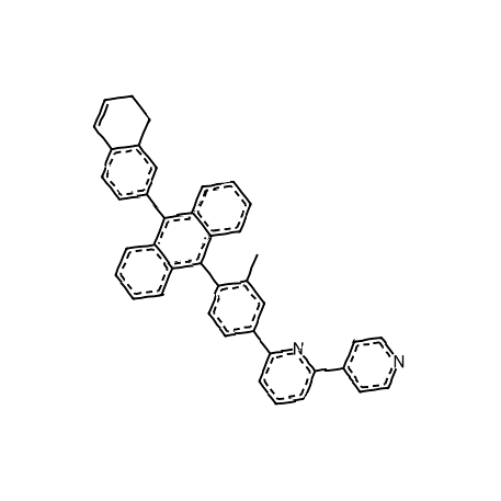 Cc1cc(-c2cccc(-c3ccncc3)n2)ccc1-c1c2ccccc2c(-c2ccc3c(c2)CCC=C3)c2ccccc12